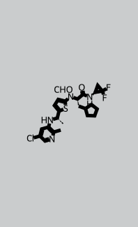 Cc1ncc(Cl)cc1N[C@@H](C)c1ccc(N(C=O)[C@@H](CC2CCCC2)C(=O)N[C@H]2CC2(F)F)s1